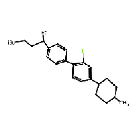 CCC(C)CCC(CC)c1ccc(-c2ccc(C3CCC(C)CC3)cc2F)cc1